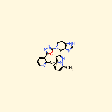 Cc1ncccc1-c1nnc(N2CCc3[nH]cnc3[C@@H]2c2cc3cccc(C)n3n2)o1